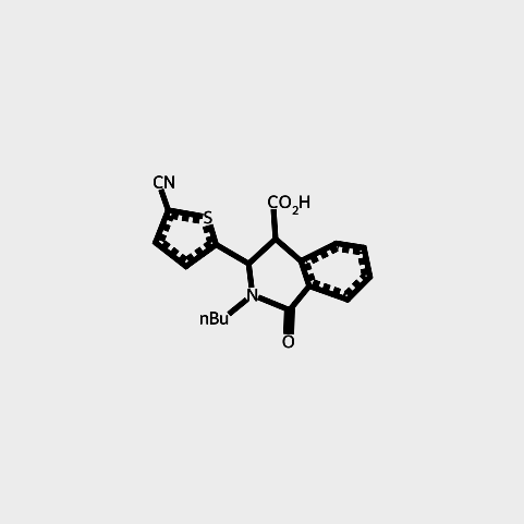 CCCCN1C(=O)c2ccccc2C(C(=O)O)C1c1ccc(C#N)s1